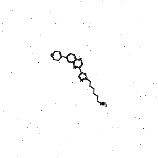 NCCCCCCn1cc(-c2cnc3ccc(C4=CCOCC4)cc3n2)cn1